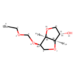 CC(C)(C)COCO[C@@H]1CO[C@H]2[C@@H]1OC[C@@H]2O